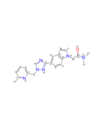 Cc1cccc(Cn2cnc(-c3ccc4c(ccn4CC(=O)N(C)C)c3)n2)n1